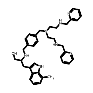 Cc1cccc2c(CC(CO)NCc3ccc(CN(CCNCc4ccccn4)CCNCc4ccccn4)cc3)c[nH]c12